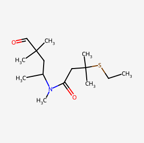 CCSC(C)(C)CC(=O)N(C)C(C)CC(C)(C)C=O